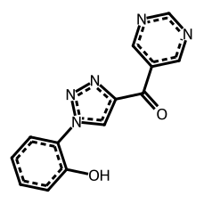 O=C(c1cncnc1)c1cn(-c2ccccc2O)nn1